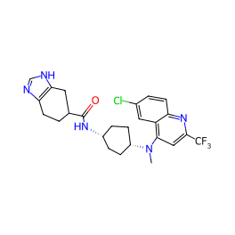 CN(c1cc(C(F)(F)F)nc2ccc(Cl)cc12)[C@H]1CC[C@@H](NC(=O)C2CCc3nc[nH]c3C2)CC1